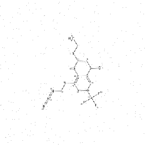 CCSc1cc(=O)c2cc(C(F)(F)F)cc(CCN=[N+]=[N-])c2o1